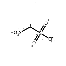 O=S(=O)(O)CS(=O)(=O)C(F)(F)F